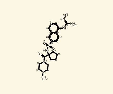 CN1CCN(C(=O)C2(NS(=O)(=O)c3ccc4c(NC(N)=NCl)cncc4c3)CCCC2)CC1